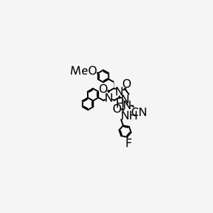 COc1ccc(C[C@H]2C(=O)N(Cc3cccc4ccccc34)C[C@H]3N2C(=O)CN3N(CC#N)C(=O)NCc2ccc(F)cc2)cc1